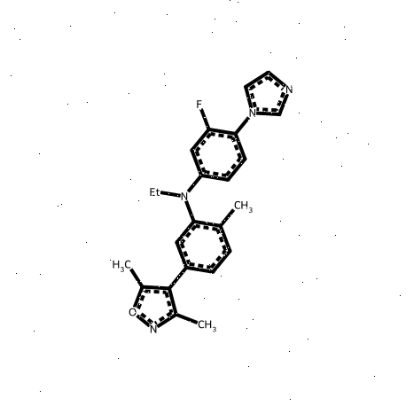 CCN(c1ccc(-n2ccnc2)c(F)c1)c1cc(-c2c(C)noc2C)ccc1C